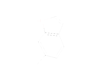 Cc1ccc2c(c1)BC=C2